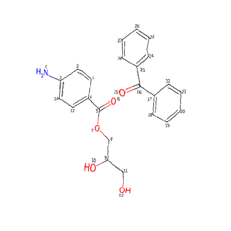 Nc1ccc(C(=O)OCC(O)CO)cc1.O=C(c1ccccc1)c1ccccc1